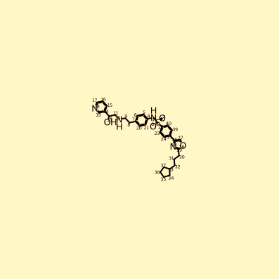 O=S(=O)(Nc1ccc(CCNCC(O)c2cccnc2)cc1)c1ccc(-c2coc(CCCC3CCCC3)n2)cc1